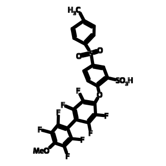 COc1c(F)c(F)c(-c2c(F)c(F)c(Oc3ccc(S(=O)(=O)c4ccc(C)cc4)cc3S(=O)(=O)O)c(F)c2F)c(F)c1F